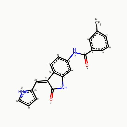 O=C1Nc2cc(NC(=O)c3cccc(C(F)(F)F)c3)ccc2/C1=C/c1ccc[nH]1